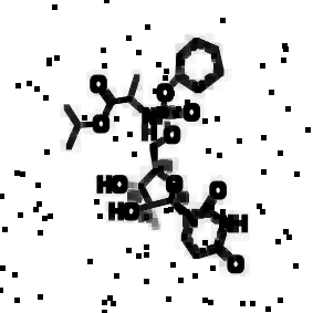 CC(C)OC(=O)C(C)N[P@](=O)(OC[C@H]1O[C@@H](n2ccc(=O)[nH]c2=O)[C@@](C)(O)[C@@H]1O)Oc1ccccc1